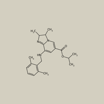 Cc1cccc(C)c1CNC1=CC(C(=O)OC(C)C)=CN2C1=NC(C)C2C